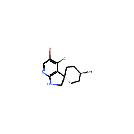 N#C[C@H]1CC[C@]2(CC1)CNc1ncc(Br)c(Cl)c12